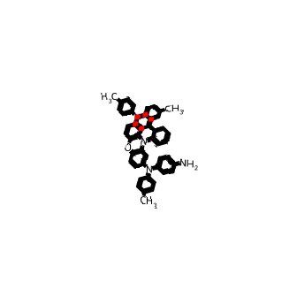 Cc1ccc(N(c2ccc(C)cc2)c2ccc3c(c2)N(c2ccccc2-c2ccccc2)c2cc(N(c4ccc(C)cc4)c4ccc(N)cc4)ccc2O3)cc1